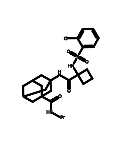 CC(C)NC(=O)C12CC3CC(CC(NC(=O)C4(NS(=O)(=O)c5ccccc5Cl)CCC4)(C3)C1)C2